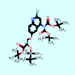 CC(C)(C)OC(=O)[C@@H](COc1ccc2nc(Cl)cc(N(C(=O)OC(C)(C)C)C(=O)OC(C)(C)C)c2c1)O[Si](C)(C)C(C)(C)C